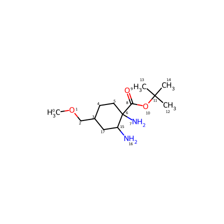 COCC1CCC(N)(C(=O)OC(C)(C)C)C(N)C1